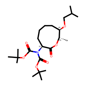 CC(C)CO[C@@H]1CCCC[C@H](N(C(=O)OC(C)(C)C)C(=O)OC(C)(C)C)C(=O)O[C@H]1C